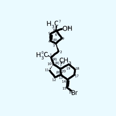 C[C@H](C[C@H]1C=C[C@](C)(O)C1)[C@H]1CCC2C(=CBr)CCC[C@@]21C